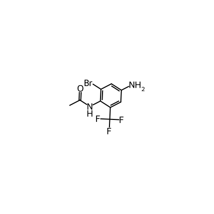 CC(=O)Nc1c(Br)cc(N)cc1C(F)(F)F